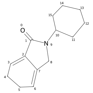 O=C1C2=CCCC=C2CN1C1CCCCC1